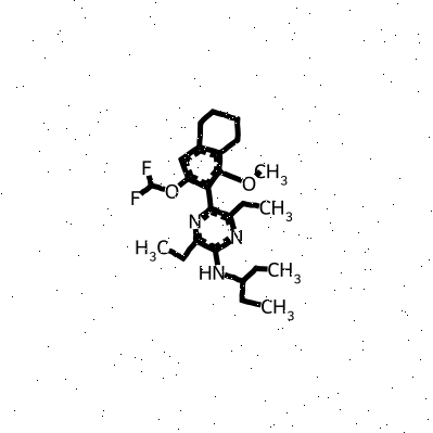 CCc1nc(-c2c(OC(F)F)cc3c(c2OC)CCCC3)c(CC)nc1NC(CC)CC